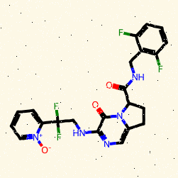 O=C(NCc1c(F)cccc1F)C1CCc2cnc(NCC(F)(F)c3cccc[n+]3[O-])c(=O)n21